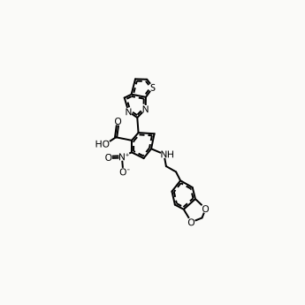 O=C(O)c1c(-c2ncc3ccsc3n2)cc(NCCc2ccc3c(c2)OCO3)cc1[N+](=O)[O-]